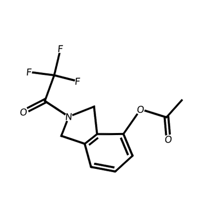 CC(=O)Oc1cccc2c1CN(C(=O)C(F)(F)F)C2